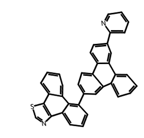 c1ccc(-c2ccc3c4ccc(-c5cccc6c7ncsc7c7ccccc7c56)cc4c4ccccc4c3c2)nc1